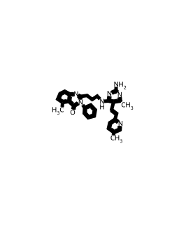 Cc1ccc(/C=C/c2c(C)nc(N)nc2NCCCc2nc3cccc(C)c3c(=O)n2-c2ccccc2)nc1